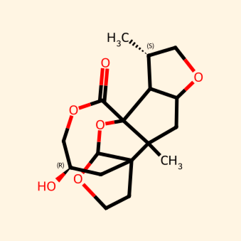 C[C@@H]1COC2CC3(C)C45CCOC4OC3(C(=O)OC[C@H](O)C5)C21